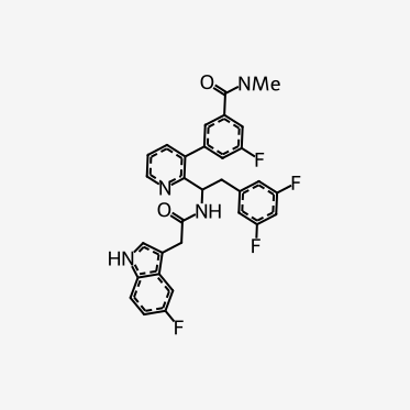 CNC(=O)c1cc(F)cc(-c2cccnc2C(Cc2cc(F)cc(F)c2)NC(=O)Cc2c[nH]c3ccc(F)cc23)c1